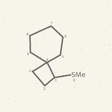 CSC1CCC12CCCCC2